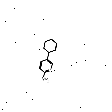 Nc1ccc(C2CCCCC2)cn1